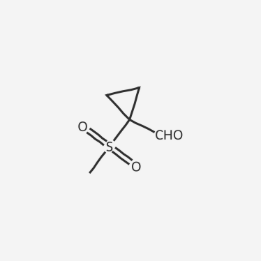 CS(=O)(=O)C1(C=O)CC1